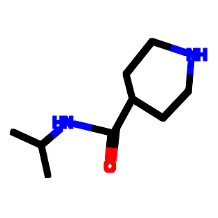 CC(C)NC(=O)C1CCNCC1